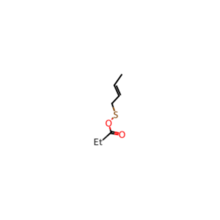 CC=CCSOC(=O)CC